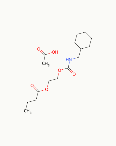 CC(=O)O.CCCC(=O)OCCOC(=O)NCC1CCCCC1